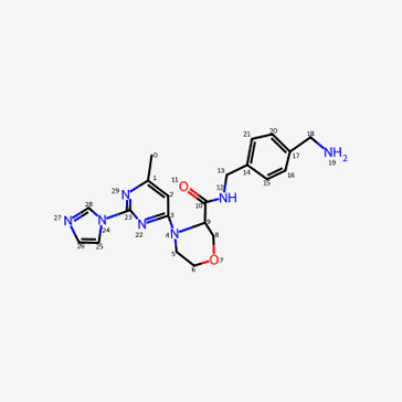 Cc1cc(N2CCOCC2C(=O)NCc2ccc(CN)cc2)nc(-n2ccnc2)n1